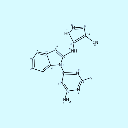 Cc1nc(N)nc(-n2c(Nc3[nH]ncc3C#N)nc3ccccc32)n1